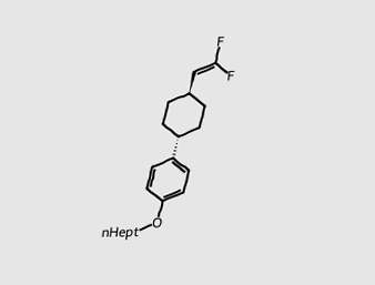 CCCCCCCOc1ccc([C@H]2CC[C@H](C=C(F)F)CC2)cc1